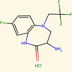 Cl.NC1CN(CC(F)(F)F)c2ccc(F)cc2NC1=O